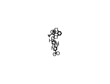 COC(=O)c1cnc(N2C[C@@H]3C[C@H]2C[C@H]3OCc2c(-c3c(Cl)cccc3Cl)noc2C2CC2)c(F)c1